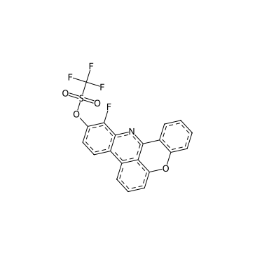 O=S(=O)(Oc1ccc2c(nc3c4c(cccc42)Oc2ccccc2-3)c1F)C(F)(F)F